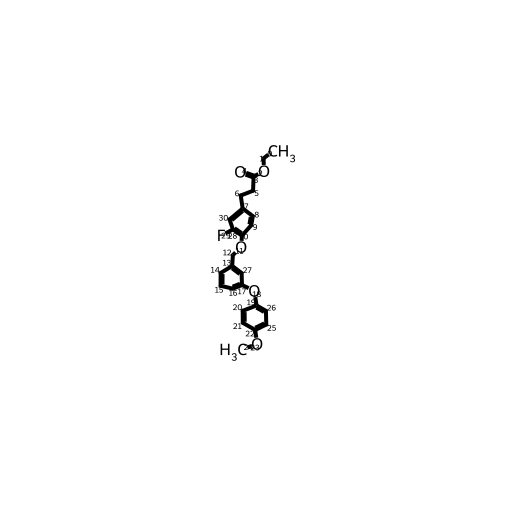 CCOC(=O)CCc1ccc(OCc2cccc(Oc3ccc(OC)cc3)c2)c(F)c1